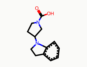 O=C(O)N1CCC(N2CCc3ccccc32)C1